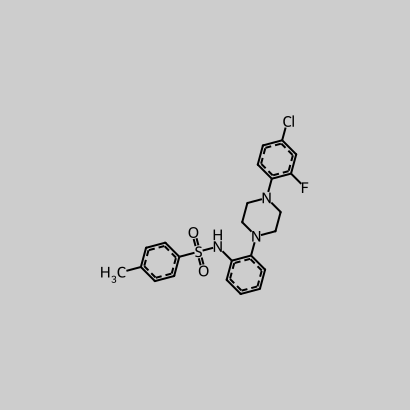 Cc1ccc(S(=O)(=O)Nc2ccccc2N2CCN(c3ccc(Cl)cc3F)CC2)cc1